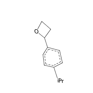 CC(C)c1ccc(C2CCO2)cc1